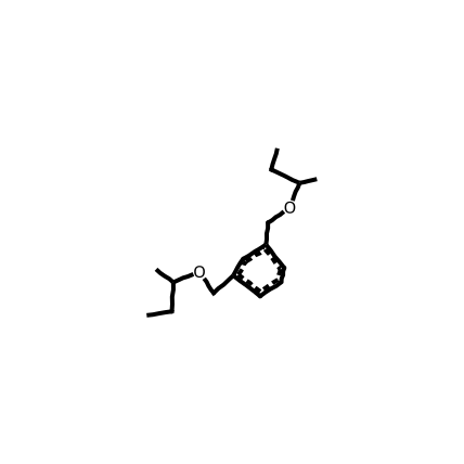 CCC(C)OCc1cccc(COC(C)CC)c1